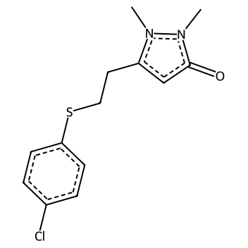 Cn1c(CCSc2ccc(Cl)cc2)cc(=O)n1C